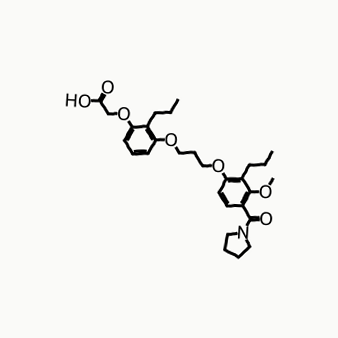 CCCc1c(OCCCOc2ccc(C(=O)N3CCCC3)c(OC)c2CCC)cccc1OCC(=O)O